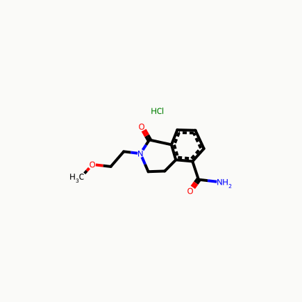 COCCN1CCc2c(C(N)=O)cccc2C1=O.Cl